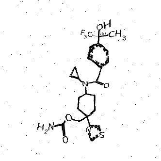 C[C@](O)(c1ccc(C(=O)N(C2CC2)C2CCC(COC(N)=O)(c3cscn3)CC2)cc1)C(F)(F)F